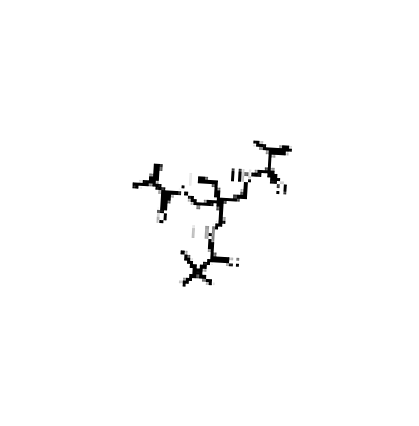 C=C(C)C(=O)NCC(CC)(CNC(=O)C(=C)C)CNC(=O)C(C)(C)C